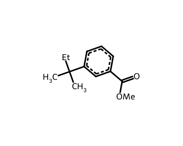 CCC(C)(C)c1cccc(C(=O)OC)c1